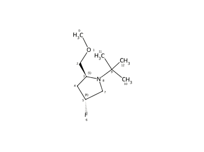 COC[C@@H]1C[C@@H](F)CN1C(C)(C)C